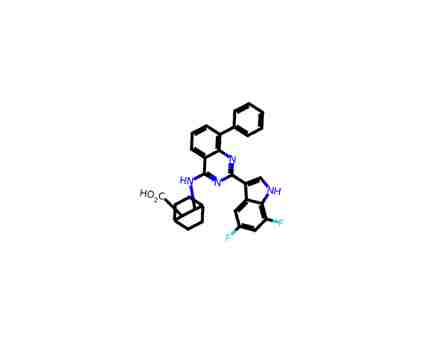 O=C(O)C1C2CCC(CC2)C1Nc1nc(-c2c[nH]c3c(F)cc(F)cc23)nc2c(-c3ccccc3)cccc12